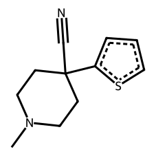 CN1CCC(C#N)(c2cccs2)CC1